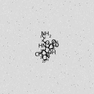 NCCCC(=O)NC(c1ccc2c(c1)OCO2)c1cc(Cl)c2cccnc2c1O